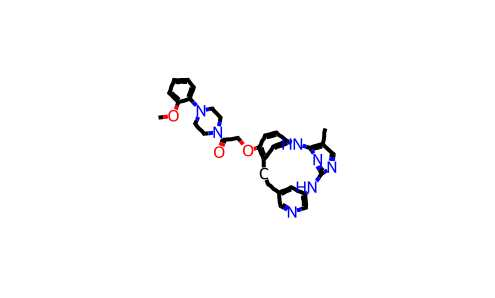 COc1ccccc1N1CCN(C(=O)COc2ccc3cc2CCc2cncc(c2)Nc2ncc(C)c(n2)N3)CC1